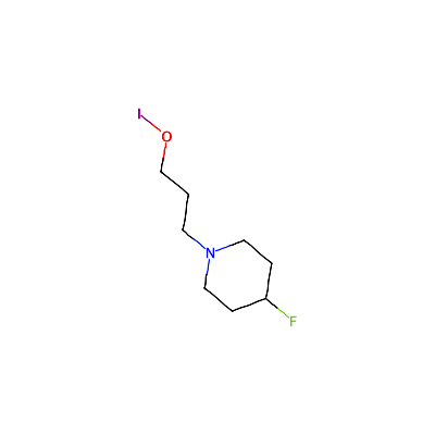 FC1CCN(CCCOI)CC1